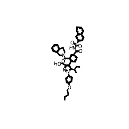 CCCCOc1ccc(-n2nc(CO)c(-c3ccc(C(=O)NS(=O)(=O)c4ccc5ccccc5c4)cc3C(=O)N3CCc4ccccc4C3)c2C(C)CC)cc1